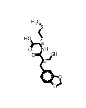 CSCC[C@H](NC(=O)[C@@H](CS)Cc1ccc2c(c1)OCO2)C(=O)O